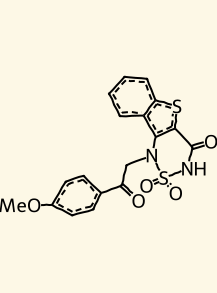 COc1ccc(C(=O)CN2c3c(sc4ccccc34)C(=O)NS2(=O)=O)cc1